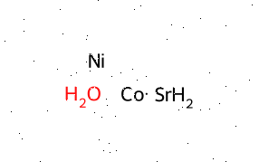 O.[Co].[Ni].[SrH2]